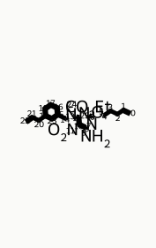 C=CCCCOc1nc(N)c([N+](=O)[O-])c(N(Cc2cccc(CC=C)c2)C(=O)OCC)n1